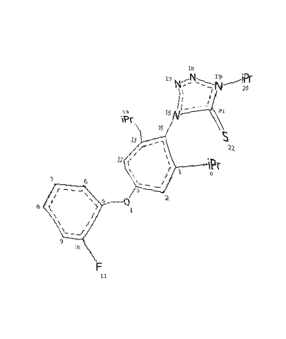 CC(C)c1cc(Oc2ccccc2F)cc(C(C)C)c1-n1nnn(C(C)C)c1=S